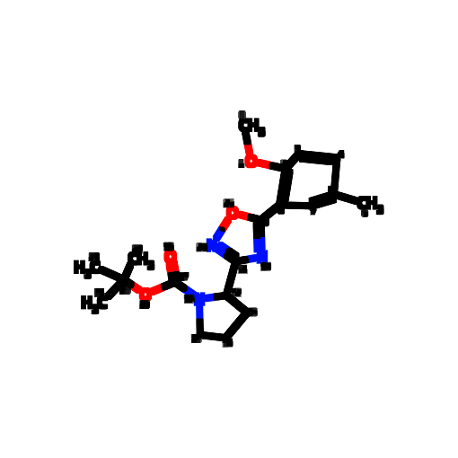 COc1ccc(C)cc1-c1nc(C2CCCN2C(=O)OC(C)(C)C)no1